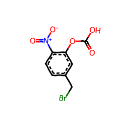 O=C(O)Oc1cc(CBr)ccc1[N+](=O)[O-]